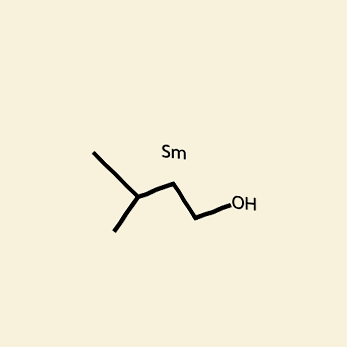 CC(C)CCO.[Sm]